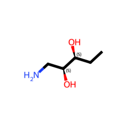 CC[C@H](O)[C@@H](O)CN